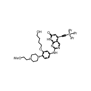 COCCN1CCN(c2ccc(Nc3ncc4c(C#C[Si](C(C)C)(C(C)C)C(C)C)cc(=O)[nH]c4n3)cc2OCCCCO)CC1